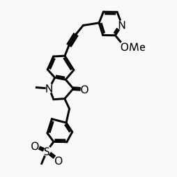 COc1cc(CC#Cc2ccc3c(c2)C(=O)C(Cc2ccc(S(C)(=O)=O)cc2)CN3C)ccn1